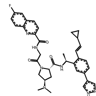 C[C@H](NC(=O)[C@@H]1C[C@@H](N(C)C)CN1C(=O)CNC(=O)c1ccc2cc(F)ccc2n1)c1cc(-c2cn[nH]c2)ccc1/C=C/C1CC1